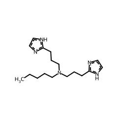 CCCCCN(CCCc1ncc[nH]1)CCCc1ncc[nH]1